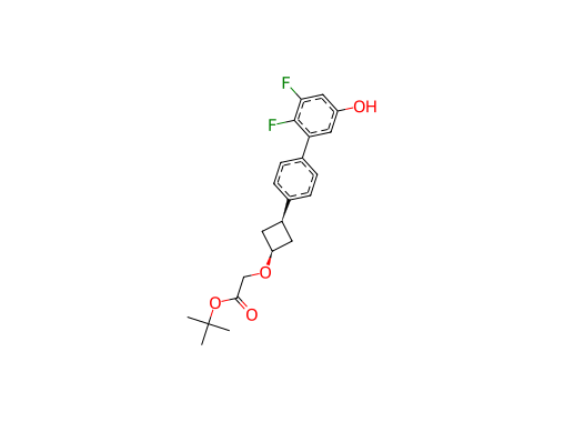 CC(C)(C)OC(=O)CO[C@H]1C[C@@H](c2ccc(-c3cc(O)cc(F)c3F)cc2)C1